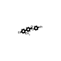 CCCC1CCC(OC(=O)C2CCC(C3CCC(CC)CC3C)CC2)CC1